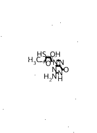 CC[C@H]1O[C@@H](n2cnc3c(=O)[nH]c(N)nc32)[C@H](O)[C@@H]1S